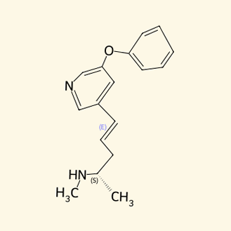 CN[C@@H](C)C/C=C/c1cncc(Oc2ccccc2)c1